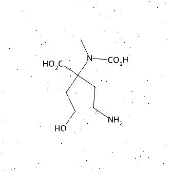 CN(C(=O)O)C(CCN)(CCO)C(=O)O